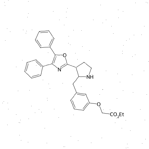 CCOC(=O)COc1cccc(CC2NCCC2c2nc(-c3ccccc3)c(-c3ccccc3)o2)c1